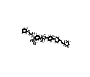 O=C(NS(=O)(=O)c1ccc(NCCSc2ccccc2)c([N+](=O)[O-])c1)c1ccc(N2CCC(CCC3OCCCO3)CC2)cc1